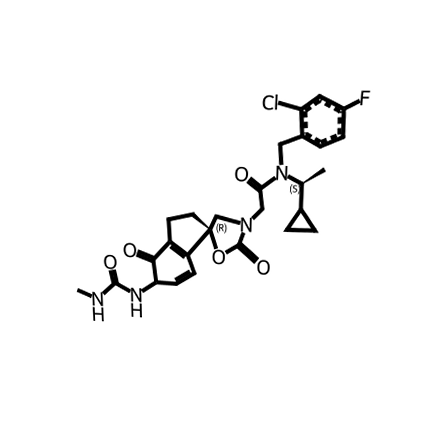 CNC(=O)NC1C=CC2=C(CC[C@]23CN(CC(=O)N(Cc2ccc(F)cc2Cl)[C@@H](C)C2CC2)C(=O)O3)C1=O